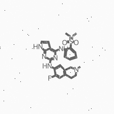 CN1CCc2cc(F)c(Nc3nc(Nc4ccccc4S(=O)(=O)N(C)C)c4cc[nH]c4n3)cc2C1